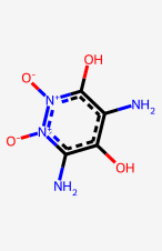 Nc1c(O)c(N)[n+]([O-])[n+]([O-])c1O